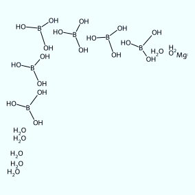 O.O.O.O.O.O.O.OB(O)O.OB(O)O.OB(O)O.OB(O)O.OB(O)O.OB(O)O.[Mg]